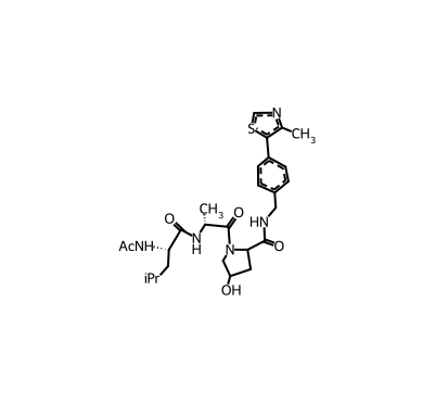 CC(=O)N[C@@H](CC(C)C)C(=O)N[C@H](C)C(=O)N1CC(O)CC1C(=O)NCc1ccc(-c2scnc2C)cc1